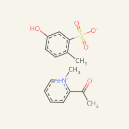 CC(=O)c1cccc[n+]1C.Cc1ccc(O)cc1S(=O)(=O)[O-]